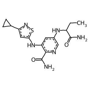 CCC(Nc1cnc(C(N)=O)c(Nc2cc(C3CC3)ns2)c1)C(N)=O